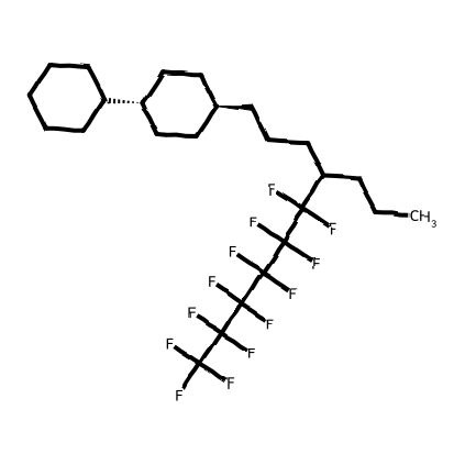 CCCC(CCC[C@H]1CC[C@H](C2CCCCC2)CC1)C(F)(F)C(F)(F)C(F)(F)C(F)(F)C(F)(F)C(F)(F)F